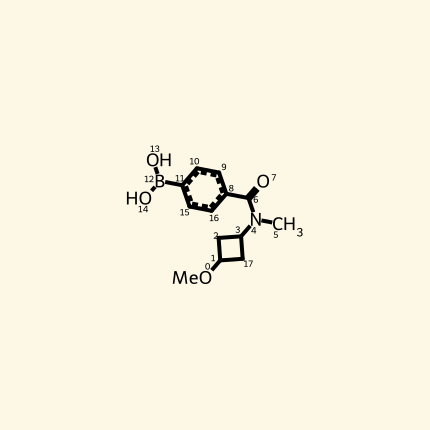 COC1CC(N(C)C(=O)c2ccc(B(O)O)cc2)C1